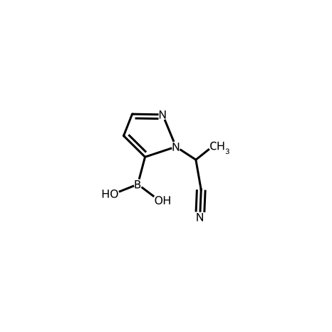 CC(C#N)n1nccc1B(O)O